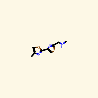 CNCc1nc(-c2nc(C)cs2)cs1